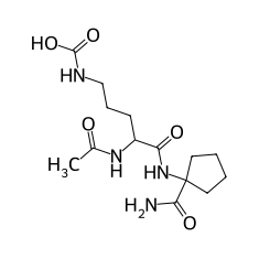 CC(=O)NC(CCCNC(=O)O)C(=O)NC1(C(N)=O)CCCC1